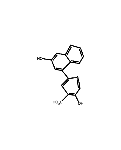 N#Cc1cc(-c2cc(C(=O)O)c(O)cn2)c2ccccc2c1